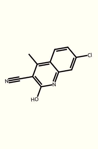 Cc1c(C#N)c(O)nc2cc(Cl)ccc12